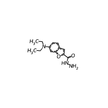 CCN(CC)c1ccc2cc(C(=O)NN)oc2c1